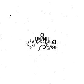 CCC(=O)C1=C(COC2CCCCC2)NC(=O)NC1c1ccc(O)c(Cl)c1